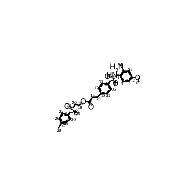 COc1ccc(NS(=O)(=O)c2ccc(CCC(=O)OCCS(=O)(=O)c3ccc(C)cc3)cc2)c(N)c1